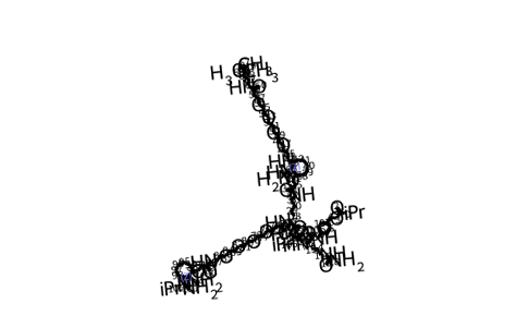 CC(C)C(=O)OCc1ccc(NC(=O)[C@H](CCCNC(N)=O)NC(=O)[C@@H](NC(=O)[C@@H](CCCCNC(=O)COC2CCCCC/C(NCCOCCOCCOCCOCCC(=O)NCC[N+](C)(C)C)=C\2NN)NC(=O)CCOCCOCCOCCOCCNC(=O)COC2CCCCC/C(N(N)C(C)C)=C\2N)C(C)C)cc1